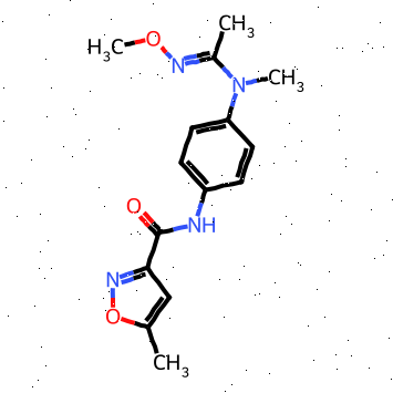 CON=C(C)N(C)c1ccc(NC(=O)c2cc(C)on2)cc1